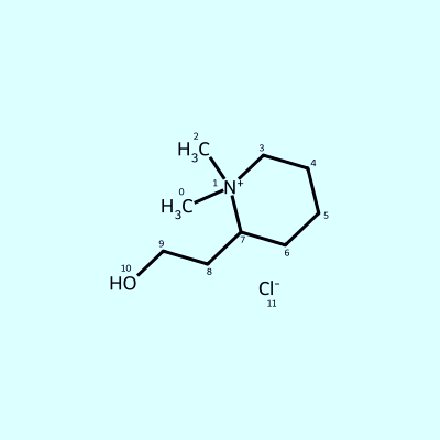 C[N+]1(C)CCCCC1CCO.[Cl-]